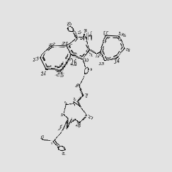 CC(=O)N1CCN(CCOc2c(-c3ccccc3)[nH]c(=O)c3ccccc23)CC1